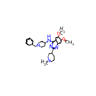 COc1cc2nc(C3CCCN(C)CC3)nc(NC3CCN(Cc4ccccc4)CC3)c2cc1OC